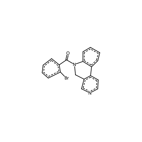 O=C(c1ccccc1Br)N1Cc2cnccc2-c2ccccc21